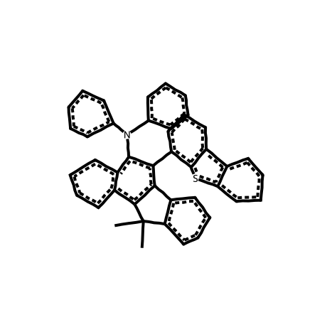 CC1(C)c2ccccc2-c2c(-c3cccc4c3sc3ccccc34)c(N(c3ccccc3)c3ccccc3)c3ccccc3c21